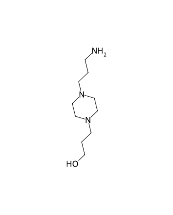 NCCCN1CCN(CCCO)CC1